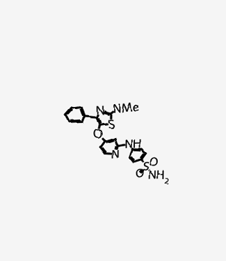 CNc1nc(-c2ccccc2)c(Oc2ccnc(Nc3ccc(S(N)(=O)=O)cc3)c2)s1